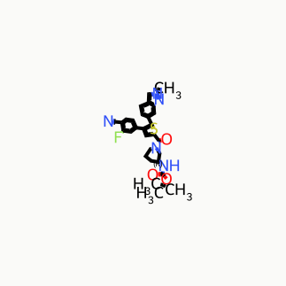 Cn1cc2ccc(-c3sc(C(=O)N4CCC[C@@H](NC(=O)OC(C)(C)C)C4)cc3-c3ccc(C#N)c(F)c3)cc2n1